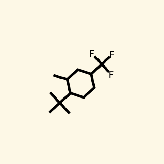 CC1CC(C(F)(F)F)CCC1C(C)(C)C